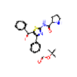 CC(C)(C)OC=O.O=C(c1ccccc1)c1sc(NC(=O)C2CCCN2)nc1-c1ccccc1